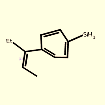 C/C=C(/CC)c1ccc([SiH3])cc1